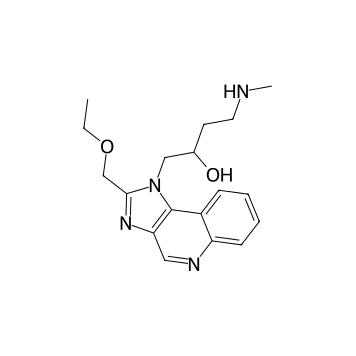 CCOCc1nc2cnc3ccccc3c2n1CC(O)CCNC